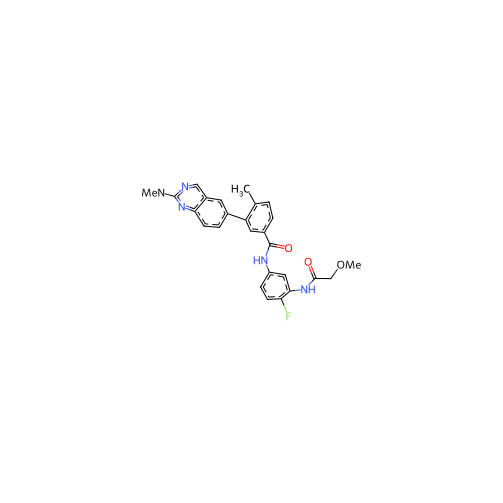 CNc1ncc2cc(-c3cc(C(=O)Nc4ccc(F)c(NC(=O)COC)c4)ccc3C)ccc2n1